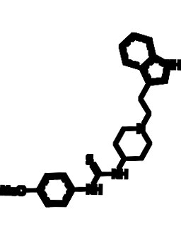 COc1ccc(NC(=S)NC2CCN(CCc3c[nH]c4ccccc34)CC2)cc1